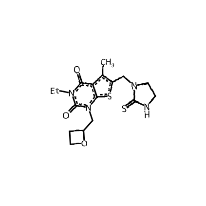 CCn1c(=O)c2c(C)c(CN3CCNC3=S)sc2n(CC2CCO2)c1=O